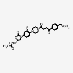 CC(=O)NC[C@H]1CN(c2ccc(N3CCN(C(=O)CCC(=O)c4ccc(C[AsH2])cc4)CC3)c(F)c2)C(=O)O1